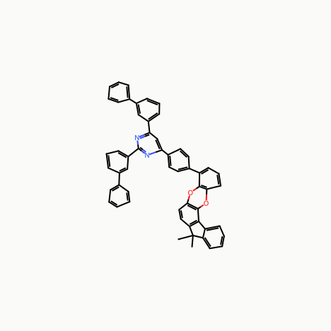 CC1(C)c2ccccc2-c2c1ccc1c2Oc2cccc(-c3ccc(-c4cc(-c5cccc(-c6ccccc6)c5)nc(-c5cccc(-c6ccccc6)c5)n4)cc3)c2O1